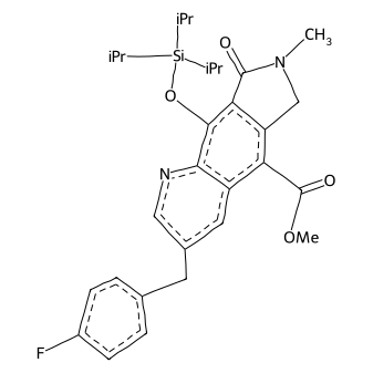 COC(=O)c1c2c(c(O[Si](C(C)C)(C(C)C)C(C)C)c3ncc(Cc4ccc(F)cc4)cc13)C(=O)N(C)C2